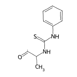 CC([C]=O)NC(=S)Nc1ccccc1